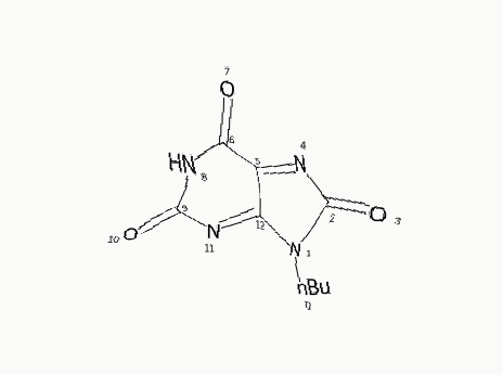 CCCCN1C(=O)N=C2C(=O)NC(=O)N=C21